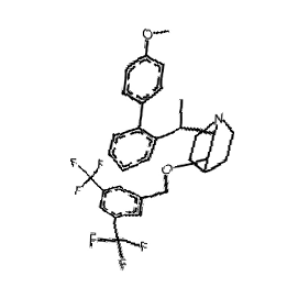 COc1ccc(-c2ccccc2C(C)C2C(OCc3cc(C(F)(F)F)cc(C(F)(F)F)c3)C3CCN2CC3)cc1